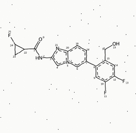 O=C(Nc1cn2cc(-c3cc(F)c(F)cc3CO)ccc2n1)C1CC1F